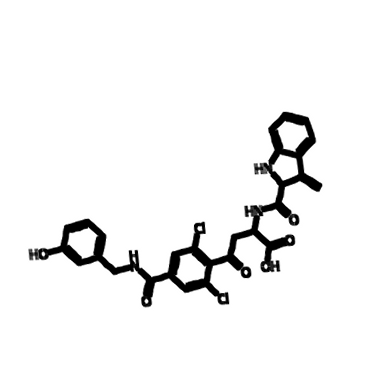 C=C1c2ccccc2NC1C(=O)NC(CC(=O)c1c(Cl)cc(C(=O)NCc2cccc(O)c2)cc1Cl)C(=O)O